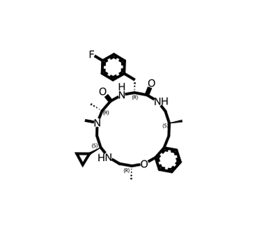 C[C@@H]1CNC(=O)[C@@H](Cc2ccc(F)cc2)NC(=O)[C@@H](C)N(C)C[C@H](C2CC2)NC[C@@H](C)Oc2ccccc2C1